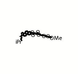 COCCOCCOCCCOC(=O)CCC(=O)OC1CC[C@@]2(C)C(=CCC3C2CC[C@@]2(C)C3CC[C@@H]2[C@H](C)CCCC(C)C)C1